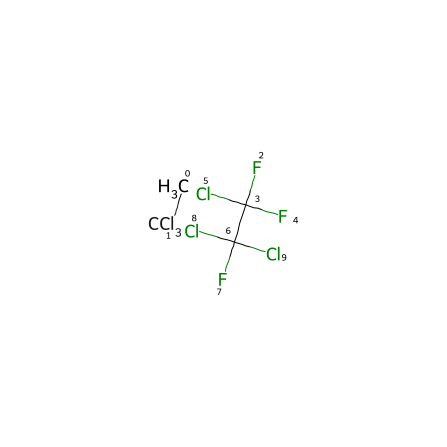 CC(Cl)(Cl)Cl.FC(F)(Cl)C(F)(Cl)Cl